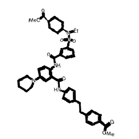 CCN([C@H]1CC[C@@H](C(=O)OC)CC1)S(=O)(=O)c1cccc(C(=O)Nc2ccc(N3CCCCC3)cc2C(=O)Nc2ccc(CCc3ccc(C(=O)OC)cc3)cc2)c1